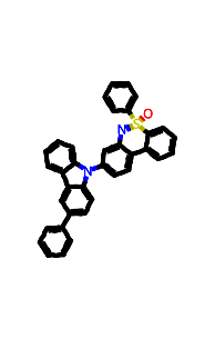 O=S1(c2ccccc2)=Nc2cc(-n3c4ccccc4c4cc(-c5ccccc5)ccc43)ccc2-c2ccccc21